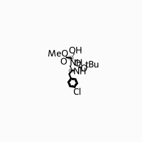 COC(=O)[C@H](CO)NC[C@H](Cc1ccc(Cl)cc1)NC(=O)OC(C)(C)C